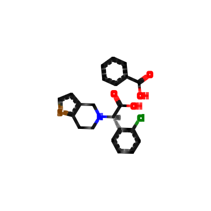 O=C(O)[C@H](c1ccccc1Cl)N1CCc2sccc2C1.O=C(O)c1ccccc1